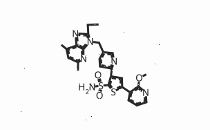 CCc1nc2c(C)cc(C)nc2n1Cc1ccc(-c2cc(-c3cccnc3OC)sc2S(N)(=O)=O)nc1